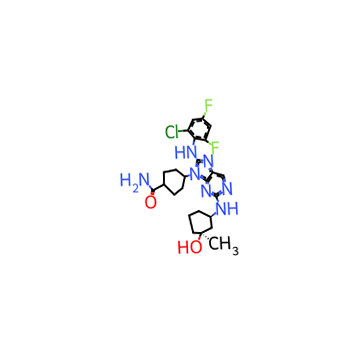 C[C@]1(O)CCC[C@@H](Nc2ncc3nc(Nc4c(F)cc(F)cc4Cl)n(C4CCC(C(N)=O)CC4)c3n2)C1